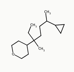 CCC(C)(CCC(C)C1CC1)C1CCOCC1